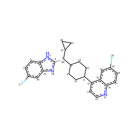 Fc1ccc2[nH]c([C@@H](C3CCC(c4ccnc5ccc(F)cc45)CC3)C3CC3)nc2c1